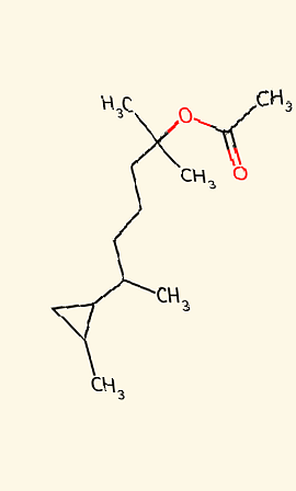 CC(=O)OC(C)(C)CCCC(C)C1CC1C